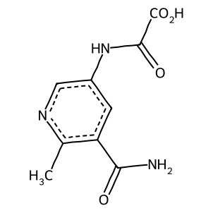 Cc1ncc(NC(=O)C(=O)O)cc1C(N)=O